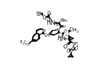 C=C[C@@H]1C[C@]1(NC(=O)[C@@H]1C[C@@H](Oc2nccc3cc(OC(F)(F)F)ccc23)CN1C(=O)[C@@H](NC(=O)OC(C)(C)C)C(C)(C)C)C(=O)NS(=O)(=O)C1CC1